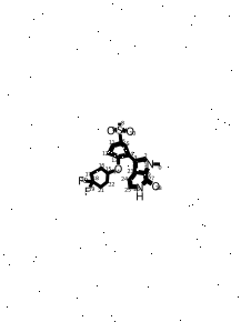 Cn1cc(-c2cc(S(C)(=O)=O)ccc2OC2CCC(F)(F)CC2)c2cc[nH]c(=O)c21